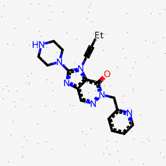 CCC#Cn1c(N2CCNCC2)nc2cnn(Cc3ccccn3)c(=O)c21